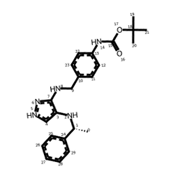 C[C@@H](Nc1c[nH]nc1NCc1ccc(NC(=O)OC(C)(C)C)cc1)c1ccccc1